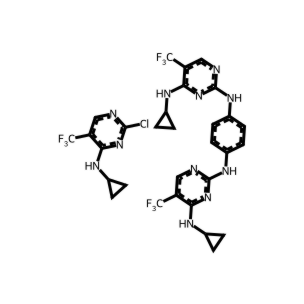 FC(F)(F)c1cnc(Cl)nc1NC1CC1.FC(F)(F)c1cnc(Nc2ccc(Nc3ncc(C(F)(F)F)c(NC4CC4)n3)cc2)nc1NC1CC1